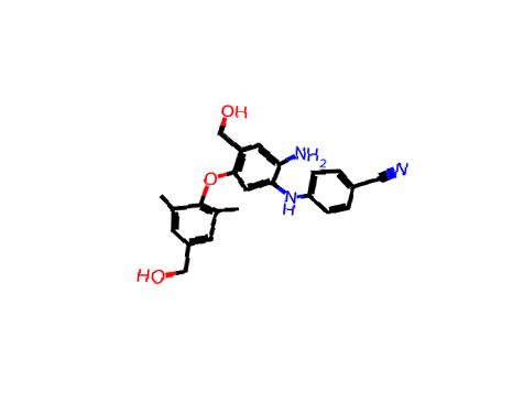 Cc1cc(CO)cc(C)c1Oc1cc(Nc2ccc(C#N)cc2)c(N)cc1CO